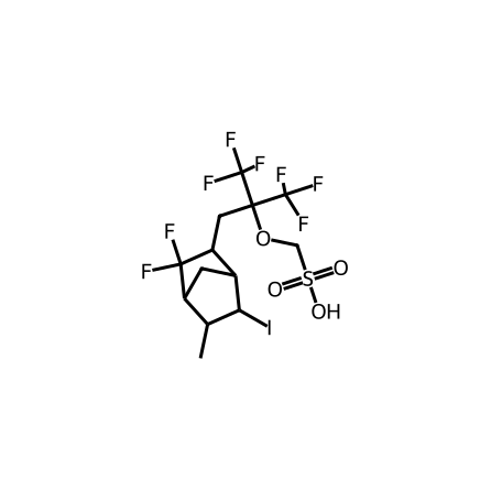 CC1C(I)C2CC1C(F)(F)C2CC(OCS(=O)(=O)O)(C(F)(F)F)C(F)(F)F